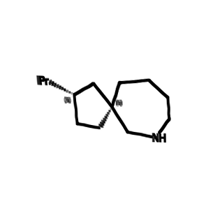 CC(C)[C@H]1CC[C@@]2(CCCCNC2)C1